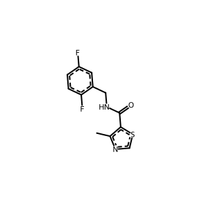 Cc1ncsc1C(=O)NCc1cc(F)ccc1F